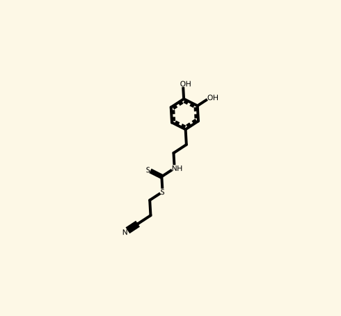 N#CCCSC(=S)NCCc1ccc(O)c(O)c1